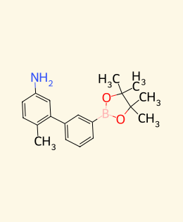 Cc1ccc(N)cc1-c1cccc(B2OC(C)(C)C(C)(C)O2)c1